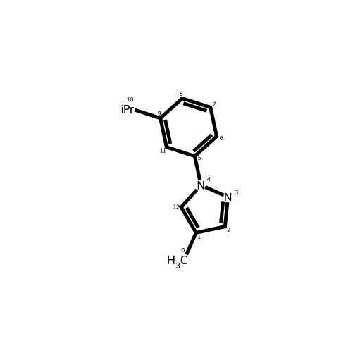 Cc1cnn(-c2cccc(C(C)C)c2)c1